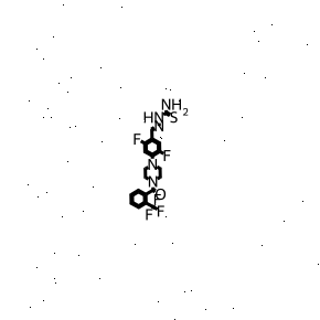 NC(=S)NN=Cc1cc(F)c(N2CCN(C(=O)c3ccccc3C(F)(F)F)CC2)cc1F